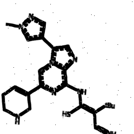 Cn1cc(-c2cnc3c(N/C(S)=C(/C=N)C(C)(C)C)nc(C4=CCCNC4)cn23)cn1